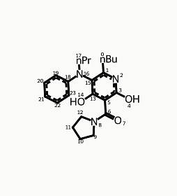 CCCCc1nc(O)c(C(=O)N2CCCC2)c(O)c1N(CCC)c1ccccc1